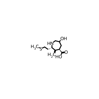 C=C1[C@H](C(=O)O)CC(O)CN[C@H]1CCSC